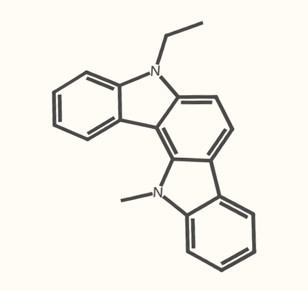 CCn1c2ccccc2c2c3c(ccc21)c1ccccc1n3C